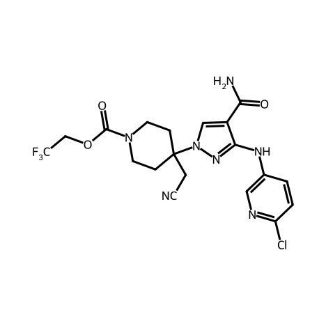 N#CCC1(n2cc(C(N)=O)c(Nc3ccc(Cl)nc3)n2)CCN(C(=O)OCC(F)(F)F)CC1